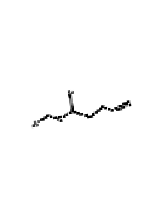 [CH2]COC(=O)CC[C]=O